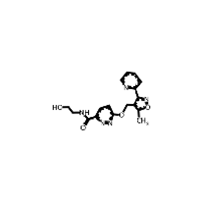 Cc1onc(-c2ccccn2)c1COc1ccc(C(=O)NCCO)nn1